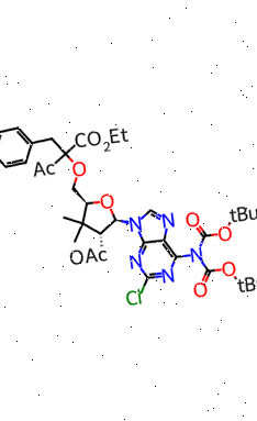 CCOC(=O)C(Cc1ccccc1)(OC[C@H]1O[C@@H](n2cnc3c(N(C(=O)OC(C)(C)C)C(=O)OC(C)(C)C)nc(Cl)nc32)[C@H](OC(C)=O)C1(C)C)C(C)=O